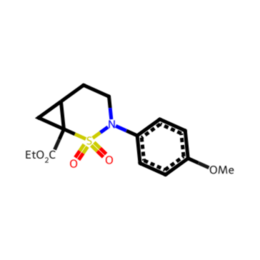 CCOC(=O)C12CC1CCN(c1ccc(OC)cc1)S2(=O)=O